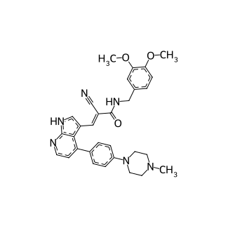 COc1ccc(CNC(=O)/C(C#N)=C/c2c[nH]c3nccc(-c4ccc(N5CCN(C)CC5)cc4)c23)cc1OC